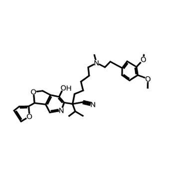 COc1ccc(CCN(C)CCCCCC(C#N)(c2ncc3c(c2O)COC3c2ccco2)C(C)C)cc1OC